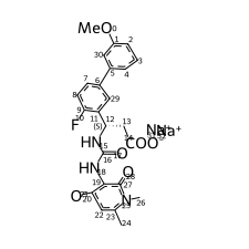 COc1cccc(-c2ccc(F)c([C@H](CC(=O)[O-])NC(=O)Nc3c([O-])cc(C)n(C)c3=O)c2)c1.[Na+].[Na+]